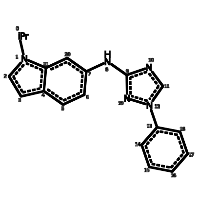 CC(C)n1ccc2ccc(Nc3ncn(-c4ccccc4)n3)cc21